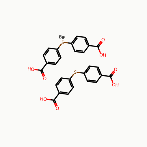 O=C(O)c1ccc(Sc2ccc(C(=O)O)cc2)cc1.O=C(O)c1ccc(Sc2ccc(C(=O)O)cc2)cc1.[Ba]